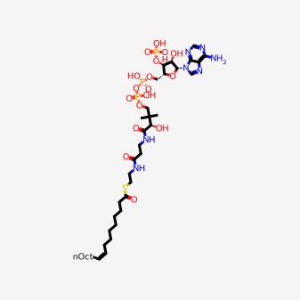 CCCCCCCC/C=C\CCCCCCCC(=O)SCCNC(=O)CCNC(=O)[C@H](O)C(C)(C)COP(=O)(O)OP(=O)(O)OC[C@H]1O[C@@H](n2cnc3c(N)ncnc32)[C@H](O)[C@@H]1OP(=O)(O)O